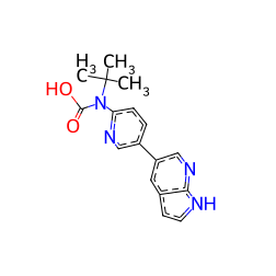 CC(C)(C)N(C(=O)O)c1ccc(-c2cnc3[nH]ccc3c2)cn1